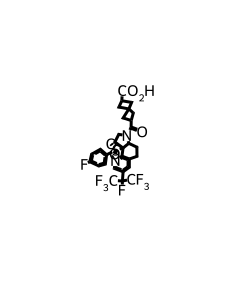 O=C(O)C1CC2(C1)CC(C(=O)N1CCC3(S(=O)(=O)c4ccc(F)cc4)c4ncc(C(F)(C(F)(F)F)C(F)(F)F)cc4CCC13)C2